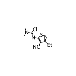 CCc1nsc(/N=C(\Cl)N(C)C)c1C#N